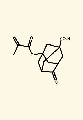 C=C(C)C(=O)OC12CC3CC(C(=O)O)(CC(C1)C3=O)C2